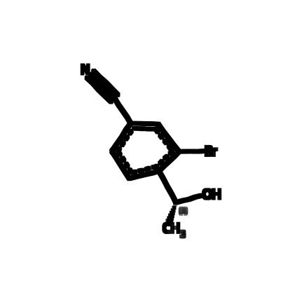 C[C@@H](O)c1ccc(C#N)cc1Br